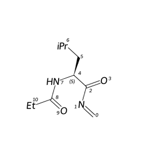 C=NC(=O)[C@H](CC(C)C)NC(=O)CC